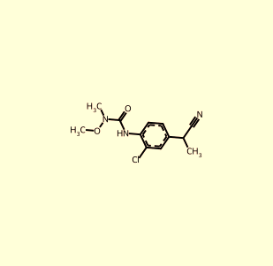 CON(C)C(=O)Nc1ccc(C(C)C#N)cc1Cl